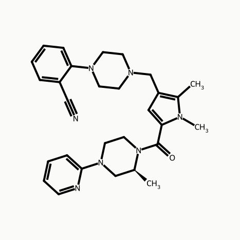 Cc1c(CN2CCN(c3ccccc3C#N)CC2)cc(C(=O)N2CCN(c3ccccn3)C[C@@H]2C)n1C